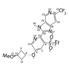 CCS(=O)(=O)c1cc(O[C@H]2C[C@H](OC)C2)cnc1-c1nc2cc(C(F)(F)F)ncc2n1C